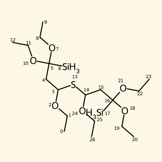 CCOC(CC([SiH3])(OCC)OCC)SC(CC([SiH3])(OCC)OCC)OCC